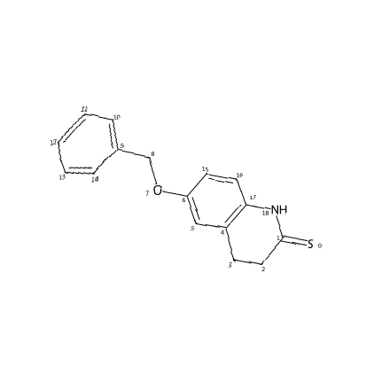 S=C1CCc2cc(OCc3ccccc3)ccc2N1